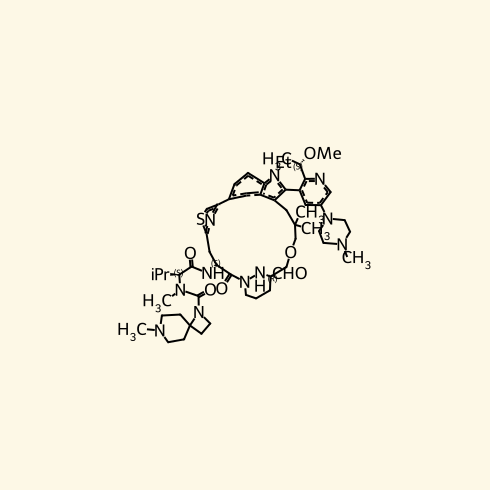 CCn1c(-c2cc(N3CCN(C)CC3)cnc2[C@H](C)OC)c2c3cc(ccc31)-c1csc(n1)C[C@H](NC(=O)[C@H](C(C)C)N(C)C(=O)N1CCC13CCN(C)CC3)C(=O)N1CCC[C@](C=O)(COCC(C)(C)C2)N1